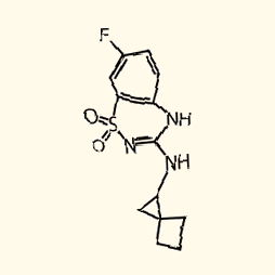 O=S1(=O)N=C(NC2CC23CCC3)Nc2ccc(F)cc21